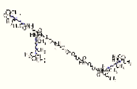 CC1=C(/C=C/C(C)=C/C=C/C(C)=C/C(=O)NCCCC[C@@H](NC(=O)/C=C(C)/C=C/C=C(C)/C=C/C2=C(C)CCCC2(C)C)C(=O)NCCOCCOCCNC(=O)CCOCCOCCOCCOCCC(=O)NCCOCCOCCNC(=O)[C@@H](CCCCN)NC(=O)/C=C(C)/C=C/C=C(C)/C=C/C2=C(C)CCCC2(C)C)C(C)(C)CCC1